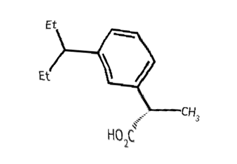 CCC(CC)c1cccc([C@H](C)C(=O)O)c1